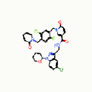 O=C(NCc1nn(C2CCCCO2)c2ccc(Cl)cc12)c1ccc(=O)n(Cc2cc(F)c(Cn3ccccc3=O)cc2F)c1